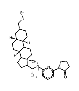 CCOC[C@H]1CC[C@@H]2C3CC[C@@]4(C)C(CCC4[C@@H](C)Nc4cccc(N5CCCC5=O)n4)[C@@H]3CC[C@@H]2C1